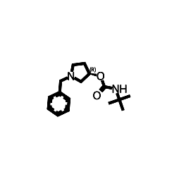 CC(C)(C)NC(=O)O[C@@H]1CCN(Cc2ccccc2)C1